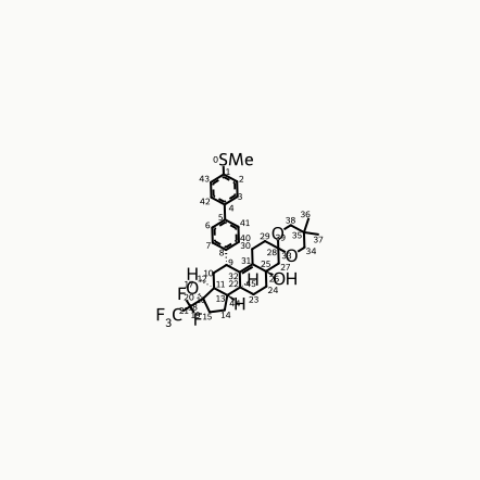 CSc1ccc(-c2ccc([C@H]3C[C@@]4(C)[C@@H](CC[C@@]4(O)C(F)(F)C(F)(F)F)[C@@H]4CC[C@@]5(O)CC6(CCC5=C43)OCC(C)(C)CO6)cc2)cc1